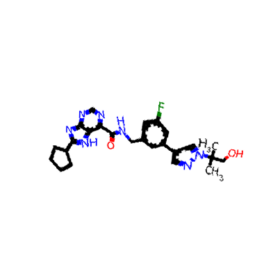 CC(C)(CO)n1cc(-c2cc(F)cc(CNC(=O)c3ncnc4nc(C5CCCC5)[nH]c34)c2)cn1